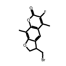 Cc1c(F)c(=O)oc2c(C)c3c(cc12)C(CBr)CO3